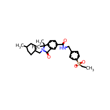 CCS(=O)(=O)c1ccc(CNC(=O)c2ccc3c(c2)C(=O)N(CC2CCC(C)CC2)C3(C)C)cc1